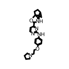 CC1(C)C2CCC1(C)C(NC(=O)c1ccnc(Nc3ccc(OCCN4CCCC4)cc3)n1)C2